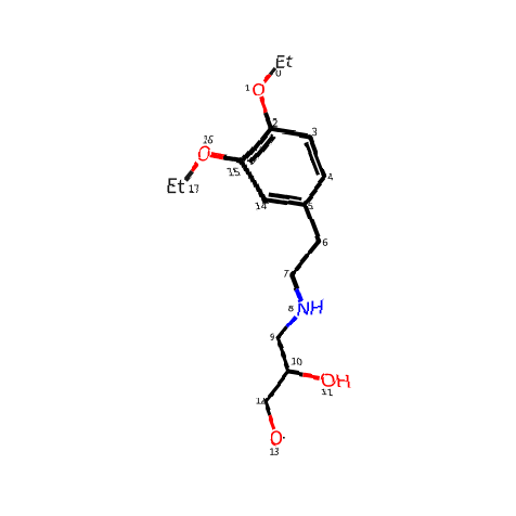 CCOc1ccc(CCNCC(O)C[O])cc1OCC